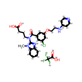 Cn1c(N(CCCC(=O)O)C(=O)c2cc(Cl)cc(OCCNc3ccncc3)c2)nc2ccccc21.O=C(O)C(F)(F)F